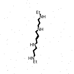 CCNCCCNC/C=C/CNCCCNCC